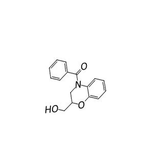 O=C(c1ccccc1)N1CC(CO)Oc2ccccc21